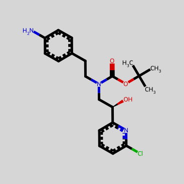 CC(C)(C)OC(=O)N(CCc1ccc(N)cc1)C[C@@H](O)c1cccc(Cl)n1